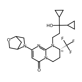 O=c1cc(N2CC3CC2CO3)nc2n1CC[C@@H](C(F)(F)F)N2CCC(O)(C1CC1)C1CC1